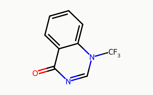 O=c1ncn(C(F)(F)F)c2ccccc12